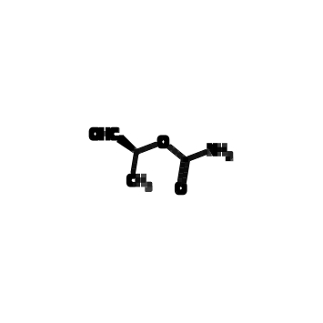 C[C@@H](C=O)OC(N)=O